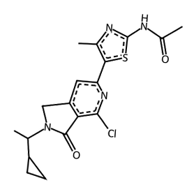 CC(=O)Nc1nc(C)c(-c2cc3c(c(Cl)n2)C(=O)N(C(C)C2CC2)C3)s1